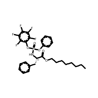 CCCCCCCCOC(=O)[C@H](Cc1ccccc1)NP(=O)(Oc1ccccc1)Oc1c(F)c(F)c(F)c(F)c1F